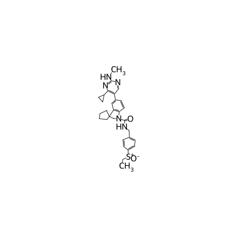 CC[S+]([O-])c1ccc(CNC(=O)N2CC3(CCCC3)c3cc(-c4cnc(NC)nc4C4CC4)ccc32)cc1